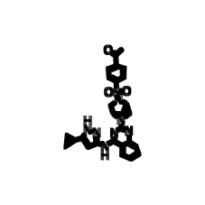 CC(=O)c1ccc(S(=O)(=O)N2CC3CC2CN3c2nc(Nc3cc(C4CC4)[nH]n3)c3ccccc3n2)cc1